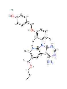 CCCOC(C)c1cc2c3c(N)ncnc3n(-c3c(C)ccc(OCc4ccc(OC)cc4)c3C)c2nc1C